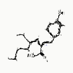 CCCCC(CC)C/C(=C\c1ccc(O)cc1)C(=O)O